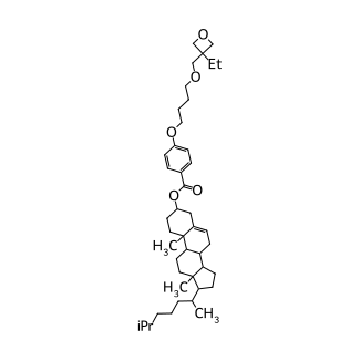 CCC1(COCCCCOc2ccc(C(=O)OC3CCC4(C)C(=CCC5C4CCC4(C)C(C(C)CCCC(C)C)CCC54)C3)cc2)COC1